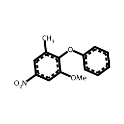 COc1cc([N+](=O)[O-])cc(C)c1Oc1ccccc1